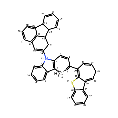 C=C(/C=C\c1c(C)c2ccccc2n1C1=Cc2cccc3c2C(C1)C1C=CC=CC31)C1=c2sc3ccccc3c2=CCC=C1